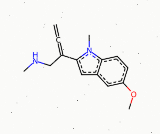 C=C=C(CNC)c1cc2cc(OC)ccc2n1C